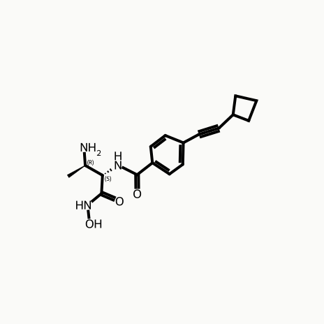 C[C@@H](N)[C@H](NC(=O)c1ccc(C#CC2CCC2)cc1)C(=O)NO